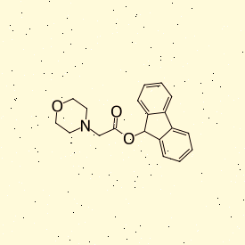 O=C(CN1CCOCC1)OC1c2ccccc2-c2ccccc21